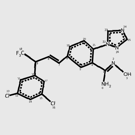 NC(=NO)c1cc(C=CC(c2cc(Cl)cc(Cl)c2)C(F)(F)F)ccc1-n1cncn1